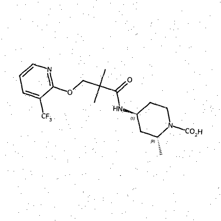 C[C@@H]1C[C@@H](NC(=O)C(C)(C)COc2ncccc2C(F)(F)F)CCN1C(=O)O